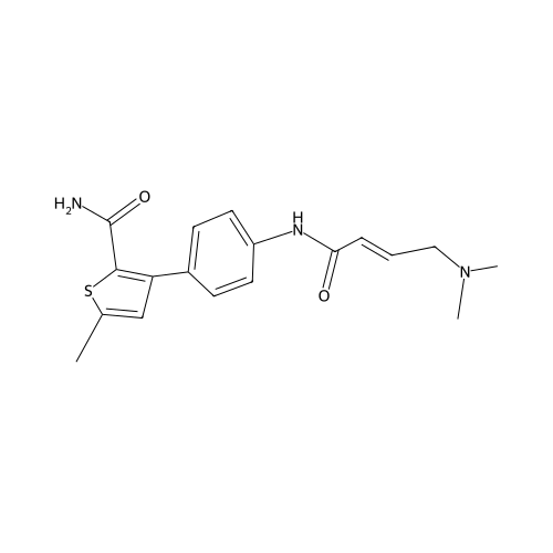 Cc1cc(-c2ccc(NC(=O)C=CCN(C)C)cc2)c(C(N)=O)s1